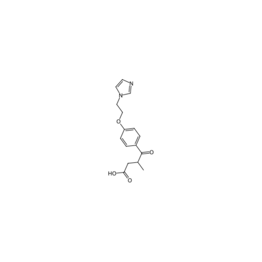 CC(CC(=O)O)C(=O)c1ccc(OCCn2ccnc2)cc1